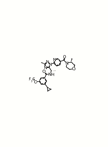 Cc1nc([C@H](C)NC(=O)c2cc(OC(F)(F)F)cc(C3CC3)c2)n(-c2ccc(C(=O)N3CCOC[C@@H]3C)cn2)n1